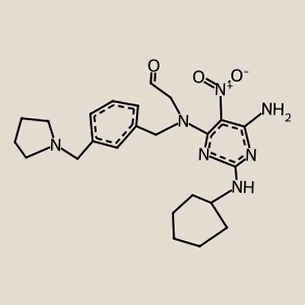 Nc1nc(NC2CCCCC2)nc(N(CC=O)Cc2cccc(CN3CCCC3)c2)c1[N+](=O)[O-]